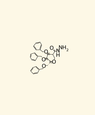 NNC(=O)C1CO[C@H](COCc2ccccc2)[C@H](OCc2ccccc2)[C@@H]1OCc1ccccc1